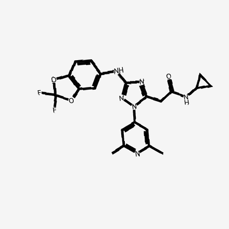 Cc1cc(-n2nc(Nc3ccc4c(c3)OC(F)(F)O4)nc2CC(=O)NC2CC2)cc(C)n1